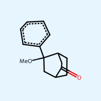 COC1(c2ccccc2)CC2CCC1CC2=O